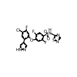 O=S(=O)(Nc1ncns1)c1cc(F)c(Oc2cc(F)c(Cl)cc2-c2cn[nH]c2)cc1F